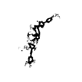 COc1cc(OC(F)(F)c2c(F)cc3cc(-c4ccc(-c5ccc(C)cc5)cc4F)cc(F)c3c2F)cc(F)c1C#Cc1cc(F)c(F)c(F)c1